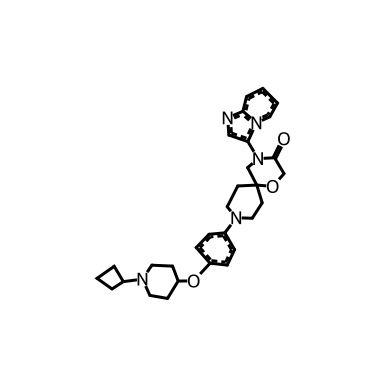 O=C1COC2(CCN(c3ccc(OC4CCN(C5CCC5)CC4)cc3)CC2)CN1c1cnc2ccccn12